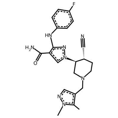 Cc1c(CN2CC[C@@H](C#N)[C@H](n3cc(C(N)=O)c(Nc4ccc(F)cc4)n3)C2)cnn1C